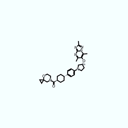 Cc1nc2nc(C)c(O[C@@H]3CCN(c4ccc([C@H]5CC[C@H](C(=O)N6CCOC7(CC7)C6)CC5)cc4)C3)c(C)n2n1